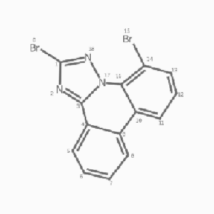 Brc1nc2c3ccccc3c3cccc(Br)c3n2n1